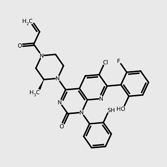 C=CC(=O)N1CCN(c2nc(=O)n(-c3ccccc3S)c3nc(-c4c(O)cccc4F)c(Cl)cc23)[C@@H](C)C1